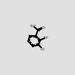 [3H]c1c(Cl)cccc1C(=O)CC